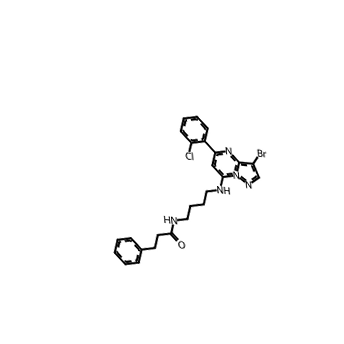 O=C(CCc1ccccc1)NCCCCNc1cc(-c2ccccc2Cl)nc2c(Br)cnn12